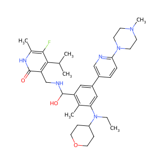 CCN(c1cc(-c2ccc(N3CCN(C)CC3)nc2)cc(C(O)NCc2c(C(C)C)c(F)c(C)[nH]c2=O)c1C)C1CCOCC1